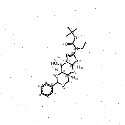 CCN(C(=O)OC(C)(C)C)C1=N[C@@H]2[C@@H](O)[C@@H]3OC(c4ccccc4)OC[C@H]3O[C@@H]2S1